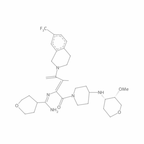 C=C(/C(C)=C(\N=C(/N)C1CCOCC1)C(=O)N1CCC(N[C@H]2CCOC[C@H]2OC)CC1)N1CCc2ccc(C(F)(F)F)cc2C1